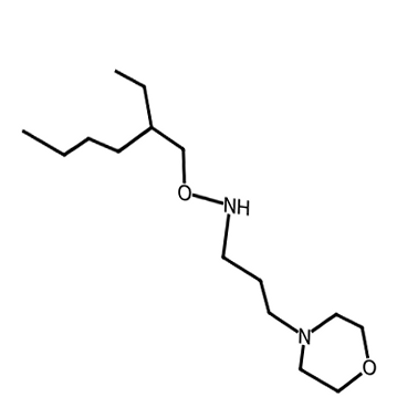 CCCCC(CC)CONCCCN1CCOCC1